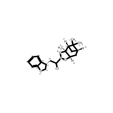 CC1(C)[C@@H]2C[C@H]3OB(C(Cl)C[C@@H]4COc5ccccc54)O[C@@]3(C)[C@H]1C2